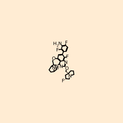 Nc1c(F)ccc(-c2cc3c4c(nc(OC[C@@]56CCCN5C[C@H](F)C6)nc4c2F)N2CC4CCC(N4)C2CO3)c1F